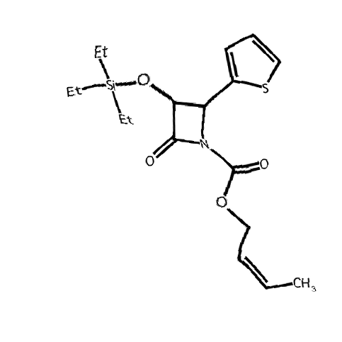 C/C=C\COC(=O)N1C(=O)C(O[Si](CC)(CC)CC)C1c1cccs1